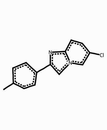 Cc1ccc(-c2cn3cc(Cl)ccc3n2)cc1